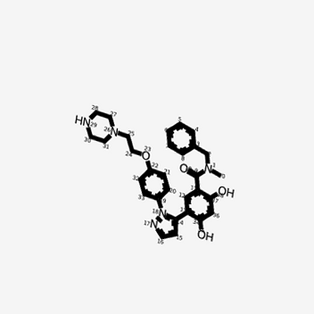 CN(Cc1ccccc1)C(=O)c1cc(-c2ccnn2-c2ccc(OCCN3CCNCC3)cc2)c(O)cc1O